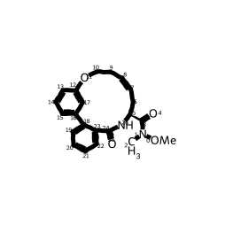 CON(C)C(=O)[C@@H]1C/C=C\CCOc2cccc(c2)-c2ccccc2C(=O)N1